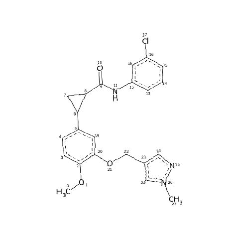 COc1ccc(C2CC2C(=O)Nc2cccc(Cl)c2)cc1OCc1cnn(C)c1